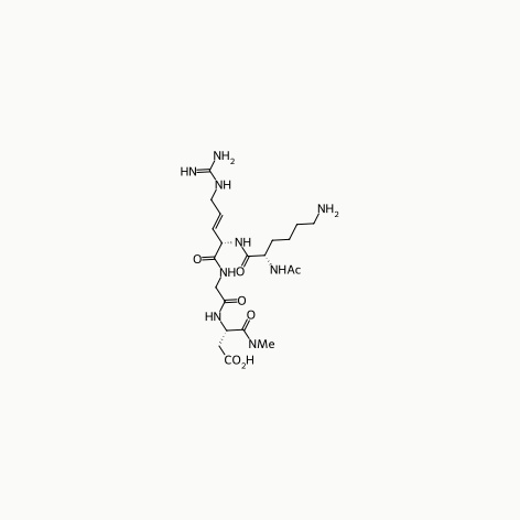 CNC(=O)[C@H](CC(=O)O)NC(=O)CNC(=O)[C@H](/C=C/CNC(=N)N)NC(=O)[C@H](CCCCN)NC(C)=O